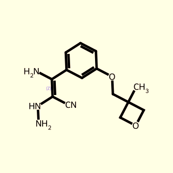 CC1(COc2cccc(/C(N)=C(\C#N)NN)c2)COC1